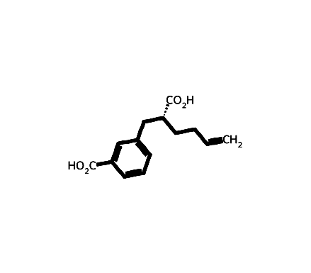 C=CCC[C@H](Cc1cccc(C(=O)O)c1)C(=O)O